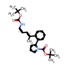 C/C(=C\C=C/NC(=O)OC(C)(C)C)c1ccccc1-c1cccn1C(=O)OC(C)(C)C